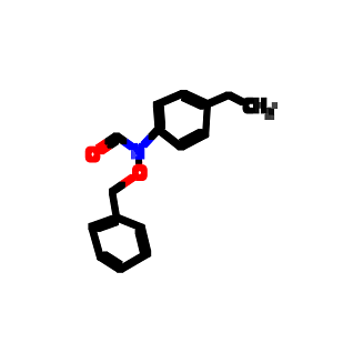 [CH2]Cc1ccc(N(C=O)OCc2ccccc2)cc1